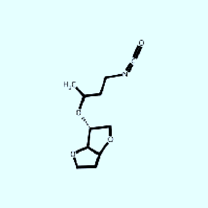 CC(CCN=C=O)O[C@@H]1COC2CCOC21